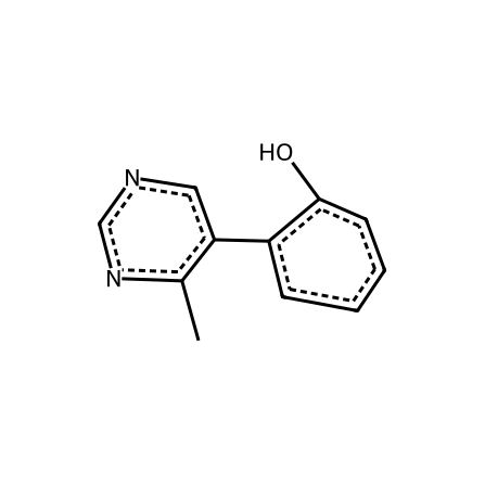 Cc1ncncc1-c1ccccc1O